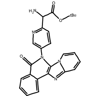 CC(C)(C)OC(=O)C(N)c1ccc(-n2c(=O)c3ccccc3c3nc4ccccn4c32)cn1